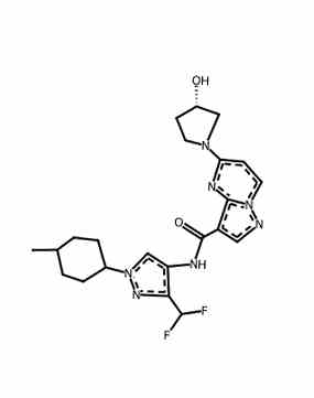 CC1CCC(n2cc(NC(=O)c3cnn4ccc(N5CC[C@H](O)C5)nc34)c(C(F)F)n2)CC1